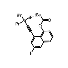 CC(C)[Si](C#Cc1cc(F)cc2cccc(OC(=O)C(C)(C)C)c12)(C(C)C)C(C)C